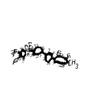 Cc1ccc(-c2ccc(C3CCC(C(F)(F)Oc4cc(F)c(F)c(F)c4)CC3)cc2)c(F)c1F